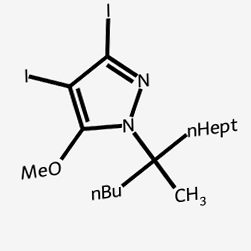 CCCCCCCC(C)(CCCC)n1nc(I)c(I)c1OC